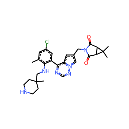 Cc1cc(Cl)cc(-c2ncnn3cc(CN4C(=O)C5C(C4=O)C5(C)C)cc23)c1NCC1(C)CCNCC1